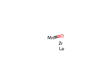 [La].[O]=[Mn].[Zr]